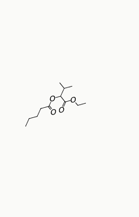 CCCCC(=O)OC(C(=O)OCC)C(C)C